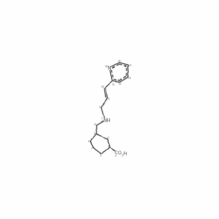 O=C(O)C1CCCC(CNCC=Cc2ccccn2)C1